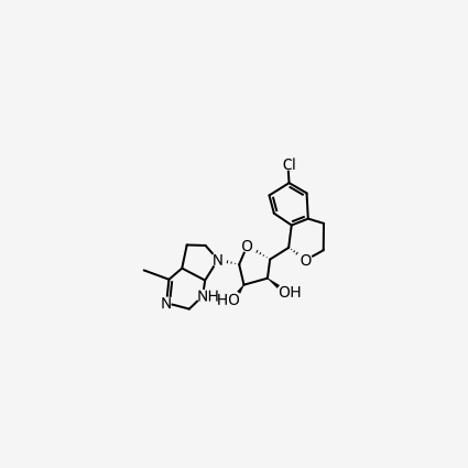 CC1=NCNC2C1CCN2[C@@H]1O[C@H]([C@H]2OCCc3cc(Cl)ccc32)[C@@H](O)[C@H]1O